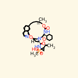 C=CC1CC1(NC(=O)[C@@H]1C[C@@H]2CN1C(=O)[C@H](C1CCCCC1)NC(=O)OC[C@@H](C)CCCc1ccc3ccnc(c3c1)O2)P(C)(=O)O